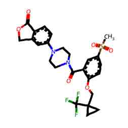 CS(=O)(=O)c1ccc(OCC2(C(F)(F)F)CC2)c(C(=O)N2CCN(c3ccc4c(c3)COC4=O)CC2)c1